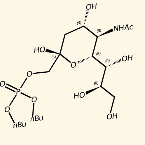 CCCCOP(=O)(OCCCC)OC[C@]1(O)C[C@H](O)[C@@H](NC(C)=O)[C@H]([C@H](O)[C@H](O)CO)O1